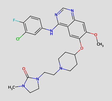 COc1cc2ncnc(Nc3ccc(F)c(Cl)c3)c2cc1OC1CCN(CCN2CCN(C)C2=O)CC1